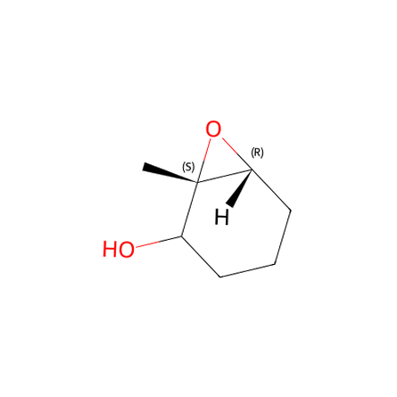 C[C@@]12O[C@@H]1CCCC2O